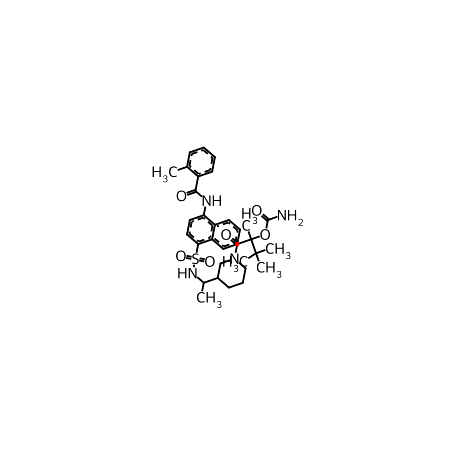 Cc1ccccc1C(=O)Nc1ccc(S(=O)(=O)NC(C)C2CCCN(C(=O)C(C)(OC(N)=O)C(C)(C)C)C2)c2ccccc12